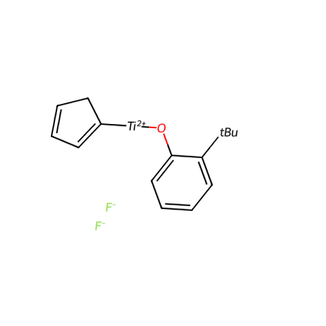 CC(C)(C)c1ccccc1[O][Ti+2][C]1=CC=CC1.[F-].[F-]